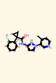 Cc1ccncc1-n1ccc(NC(=O)C2(c3ccccc3F)CC2)n1